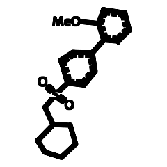 COc1ccc[c]c1-c1ccc(S(=O)(=O)CC2CCCCC2)cc1